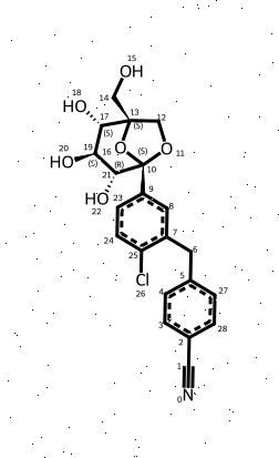 N#Cc1ccc(Cc2cc([C@]34OC[C@](CO)(O3)[C@@H](O)[C@H](O)[C@H]4O)ccc2Cl)cc1